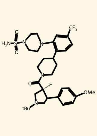 COc1ccc(C2CN(C(C)(C)C)C[C@@]2(F)C(=O)N2CCC(c3ccc(C(F)(F)F)cc3N3CCN(S(N)(=O)=O)CC3)CC2)cc1